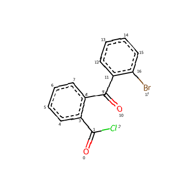 O=C(Cl)c1ccccc1C(=O)c1ccccc1Br